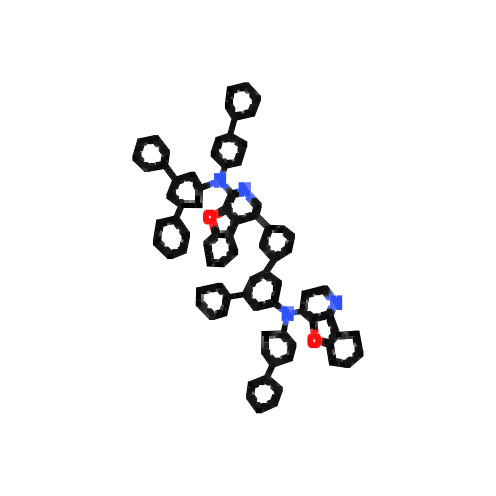 c1ccc(-c2ccc(N(c3cc(-c4ccccc4)cc(-c4cccc(-c5cnc(N(c6ccc(-c7ccccc7)cc6)c6cc(-c7ccccc7)cc(-c7ccccc7)c6)c6oc7ccccc7c56)c4)c3)c3ccnc4c3oc3ccccc34)cc2)cc1